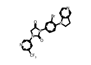 O=C1CN(c2cncc(C(F)(F)F)c2)C(=O)N1c1ccc(N2CCc3cnccc32)c(Br)c1